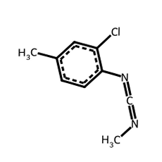 CN=C=Nc1ccc(C)cc1Cl